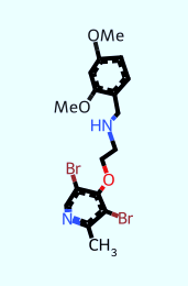 COc1ccc(CNCCOc2c(Br)cnc(C)c2Br)c(OC)c1